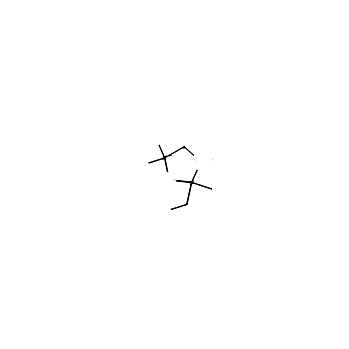 CC1(CF)OCC(F)(F)O1